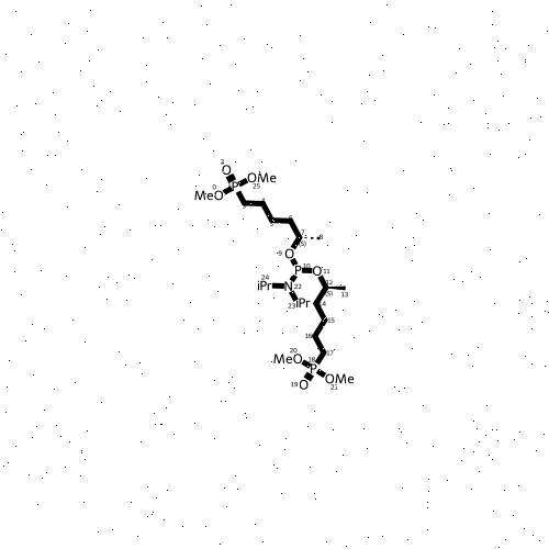 COP(=O)(CCCC[C@H](C)OP(O[C@@H](C)CCCCP(=O)(OC)OC)N(C(C)C)C(C)C)OC